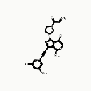 C=CC(=O)N1CC[C@H](n2nc(C#Cc3cc(Cl)cc(OC)c3)c3c(N)ncc(Cl)c32)C1